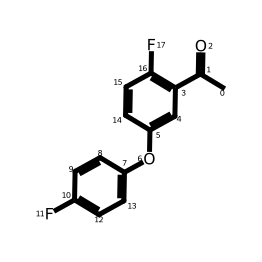 CC(=O)c1cc(Oc2ccc(F)cc2)ccc1F